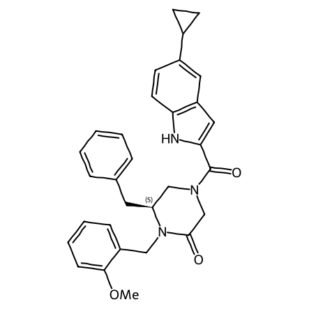 COc1ccccc1CN1C(=O)CN(C(=O)c2cc3cc(C4CC4)ccc3[nH]2)C[C@@H]1Cc1ccccc1